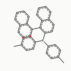 Cc1ccc(P(c2ccc(C)cc2)c2ccc3ccccc3c2-c2cccc3ccccc23)cc1